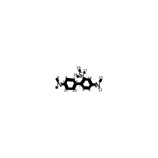 CN(C)c1ccc(-c2ccc(N(C)C)cc2[Si](C)(C)C)cc1